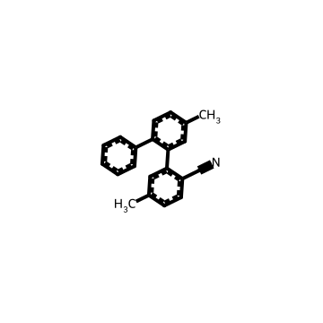 Cc1ccc(C#N)c(-c2cc(C)ccc2-c2ccccc2)c1